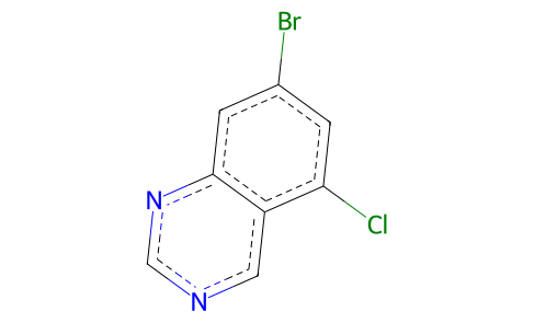 Clc1cc(Br)cc2ncncc12